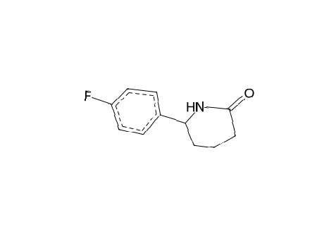 O=C1CCCC(c2ccc(F)cc2)N1